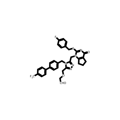 O=CCOCc1nnc(Cn2c(SCc3ccc(F)cc3)nc(=O)c3c2CCC3)n1Cc1ccc(-c2ccc(C(F)(F)F)cc2)cc1